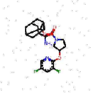 NC(=O)C12CC3CC(C1)C(OC(=O)N1CC[C@@H](Oc4ncc(F)cc4F)C1)C(C3)C2